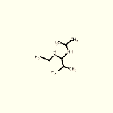 CC(C)NC(NCN)C(C)C